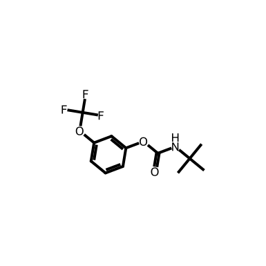 CC(C)(C)NC(=O)Oc1cccc(OC(F)(F)F)c1